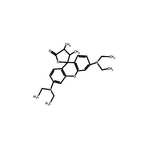 CCN(CC)c1ccc2c(c1)Oc1cc(N(CC)CC)ccc1C21OC(=O)C(C)C1C